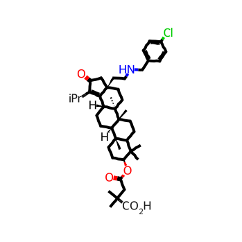 CC(C)C1=C2[C@H]3CC[C@@H]4[C@@]5(C)CC[C@H](OC(=O)CC(C)(C)C(=O)O)C(C)(C)C5CC[C@@]4(C)[C@]3(C)CC[C@@]2(CCNCc2ccc(Cl)cc2)CC1=O